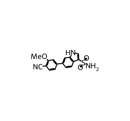 COc1cc(-c2ccc3c(S(N)(=O)=O)c[nH]c3c2)ccc1C#N